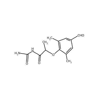 Cc1cc(C=O)cc(C)c1OC(C)C(=O)NC(N)=O